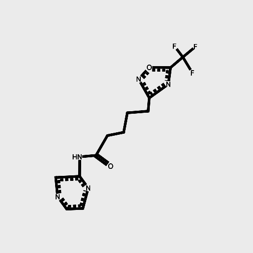 O=C(CCCCc1noc(C(F)(F)F)n1)Nc1cnccn1